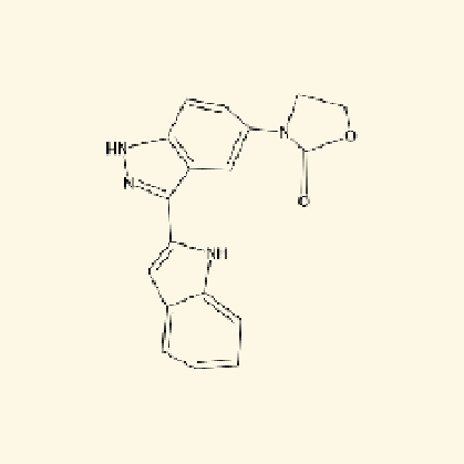 O=C1OCCN1c1ccc2[nH]nc(-c3cc4ccccc4[nH]3)c2c1